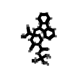 CC(C)(C)OC(=O)N1CC[N+](CC2c3ccccc3-c3ccccc32)(C(=O)O)CC1=O